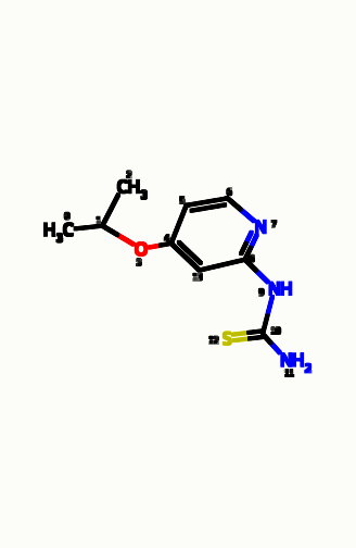 CC(C)Oc1ccnc(NC(N)=S)c1